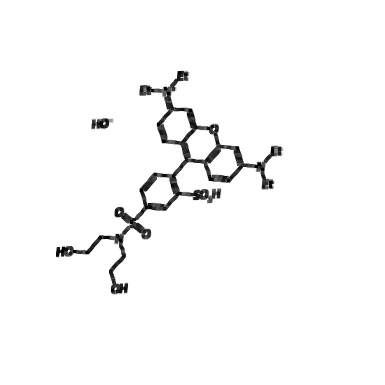 CCN(CC)c1ccc2c(-c3ccc(S(=O)(=O)N(CCO)CCO)cc3S(=O)(=O)O)c3ccc(=[N+](CC)CC)cc-3oc2c1.[OH-]